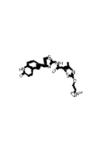 COCCOc1nc(C)c(C(=O)Nc2nc(-c3ccc4c(c3)CCC(=O)N4)cs2)s1